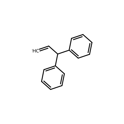 [CH]=CC(c1ccccc1)c1ccccc1